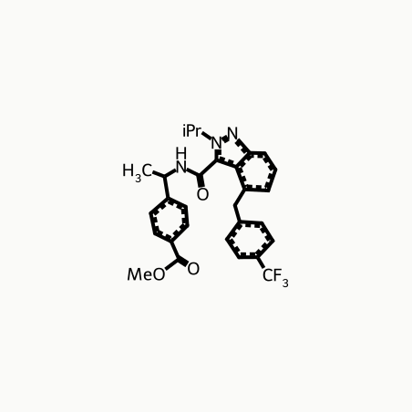 COC(=O)c1ccc(C(C)NC(=O)c2c3c(Cc4ccc(C(F)(F)F)cc4)cccc3nn2C(C)C)cc1